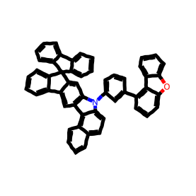 c1cc(-c2cccc3oc4ccccc4c23)cc(-n2c3cc4c(cc3c3c5ccccc5ccc32)-c2ccccc2C42c3ccccc3-c3ccccc32)c1